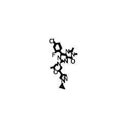 Cc1nc2c(-c3ccc(Cl)cc3F)nc(N3CC(C)OC(c4cnn(C5CC5)c4)C3)nc2c(=O)n1C